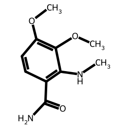 CNc1c(C(N)=O)ccc(OC)c1OC